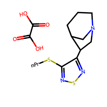 CCCSc1nsnc1C1CN2CCCC1C2.O=C(O)C(=O)O